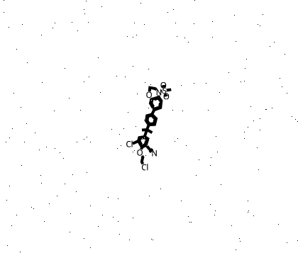 CC(C)(c1ccc(-c2ccc3c(c2)OCCN3S(C)(=O)=O)cc1)c1cc(Cl)c(OCCCl)c(C#N)c1